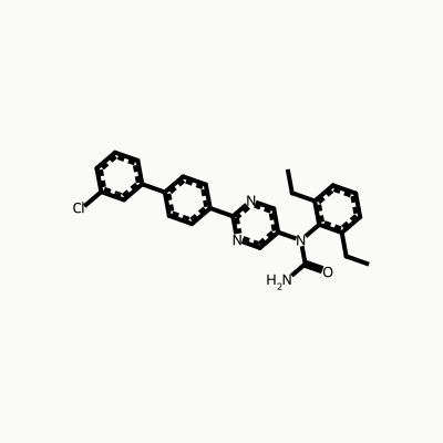 CCc1cccc(CC)c1N(C(N)=O)c1cnc(-c2ccc(-c3cccc(Cl)c3)cc2)nc1